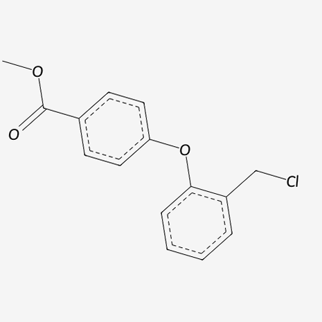 COC(=O)c1ccc(Oc2ccccc2CCl)cc1